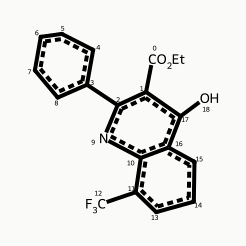 CCOC(=O)c1c(-c2ccccc2)nc2c(C(F)(F)F)cccc2c1O